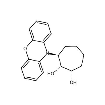 O[C@H]1[C@@H](O)CCCC[C@@H]1N1c2ccccc2Oc2ccccc21